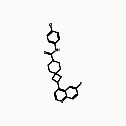 O=C(Nc1ccc(Cl)cc1)N1CCC2(CC1)CC(c1ccnc3ccc(F)cc13)C2